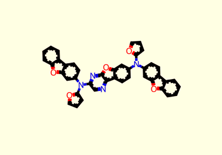 c1coc(N(c2ccc3c(c2)oc2ccccc23)c2ccc3c(c2)oc2nc(N(c4ccc5c(c4)oc4ccccc45)c4ccco4)cnc23)c1